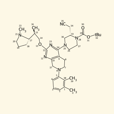 Cc1cccc(N2CCc3c(nc(OC[C@H](C)[C@@H]4CCCN4C)nc3N3CCN(C(=O)OC(C)(C)C)[C@@H](CC#N)C3)C2)c1C